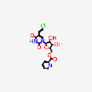 O=C(OCC1OC(n2cc(/C=C/Cl)c(=O)[nH]c2=O)C(O)C1O)c1ccccn1